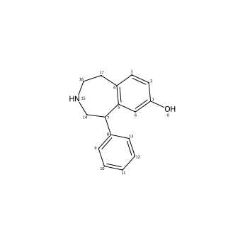 Oc1ccc2c(c1)C(c1ccccc1)CNCC2